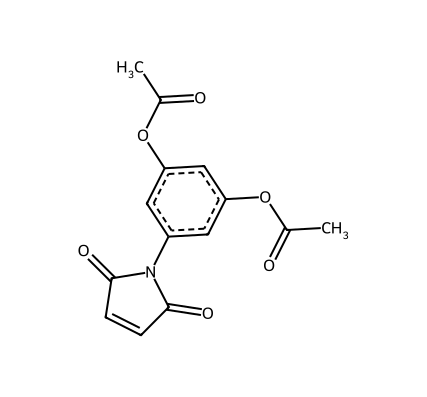 CC(=O)Oc1cc(OC(C)=O)cc(N2C(=O)C=CC2=O)c1